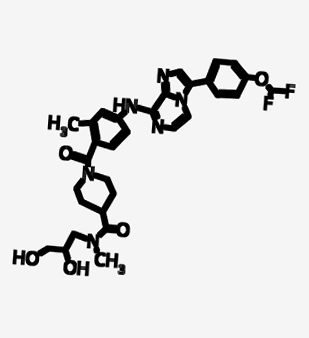 Cc1cc(Nc2nccn3c(-c4ccc(OC(F)F)cc4)cnc23)ccc1C(=O)N1CCC(C(=O)N(C)CC(O)CO)CC1